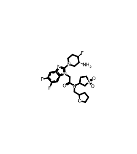 N[C@@H]1CN(c2nc3cc(F)c(F)cc3n2CC(=O)N(CC2CCCO2)C2CCS(=O)(=O)C2)CC[C@H]1F